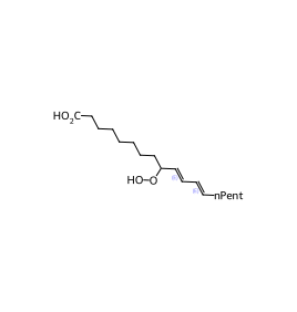 CCCCC/C=C/C=C/C(CCCCCCCC(=O)O)OO